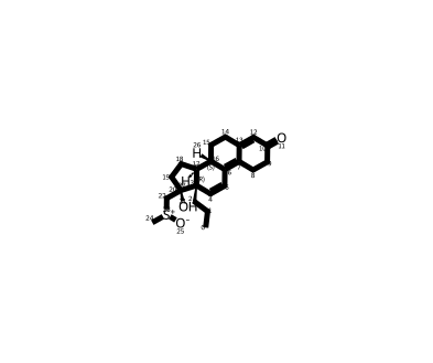 CCC[C@]12C=CC3=C4CCC(=O)C=C4CC[C@H]3[C@@H]1CC[C@@]2(O)C[S+](C)[O-]